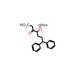 CCCCCCOC(CCC(c1ccccc1)c1ccccc1)C(=O)CC(=O)O